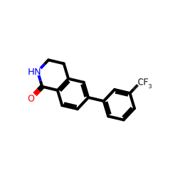 O=C1NCCc2cc(-c3cccc(C(F)(F)F)c3)ccc21